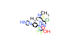 Cc1nc(C)c(-c2nc(Nc3ccc(N4CCNCC4)cc3)ncc2Cl)s1.O=C(O)C(F)(F)F